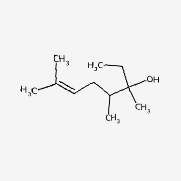 CCC(C)(O)C(C)CC=C(C)C